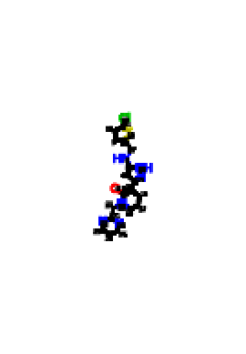 O=c1c(-c2cc(NCc3ccc(Cl)s3)[nH]n2)cccn1Cc1ncccn1